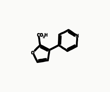 O=C(O)c1occc1-c1ccncc1